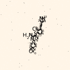 C[C@H]1CC2(CCN(c3cnc(Sc4cccc(C#Cc5cnn(C)c5)c4Cl)c(N)n3)CC2)CO1